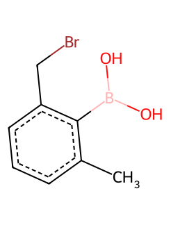 Cc1cccc(CBr)c1B(O)O